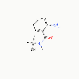 CN(C(=O)c1ccccc1N)C(C)(C)C#N